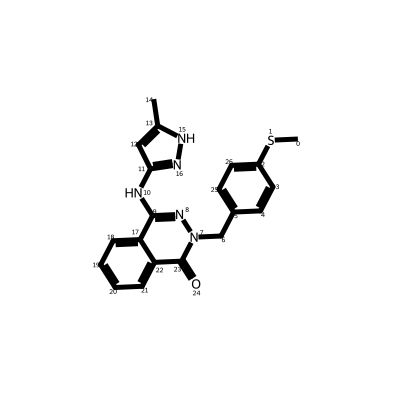 CSc1ccc(Cn2nc(Nc3cc(C)[nH]n3)c3ccccc3c2=O)cc1